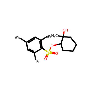 CC(C)c1cc(C(C)C)c(S(=O)(=O)OC2CCCCC2(C)O)c(C(C)C)c1